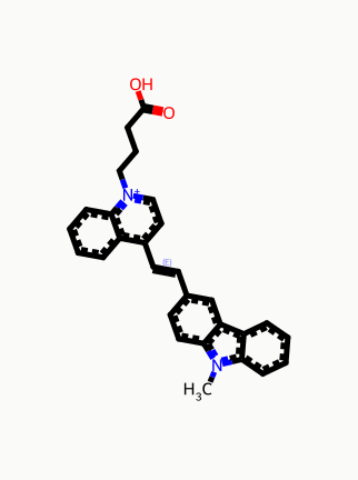 Cn1c2ccccc2c2cc(/C=C/c3cc[n+](CCCC(=O)O)c4ccccc34)ccc21